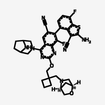 N#Cc1cc2c(N3CC4CCC(C3)N4)nc(OCC3(CN4C[C@@H]5C[C@H]4CO5)CCC3)nc2c(F)c1-c1ccc(F)c2sc(N)c(C#N)c12